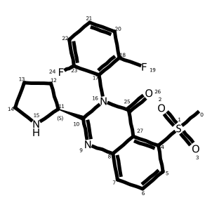 CS(=O)(=O)c1cccc2nc([C@@H]3CCCN3)n(-c3c(F)cccc3F)c(=O)c12